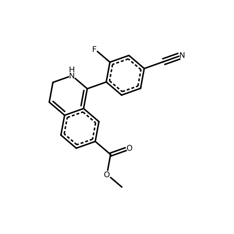 COC(=O)c1ccc2c(c1)=C(c1ccc(C#N)cc1F)NCC=2